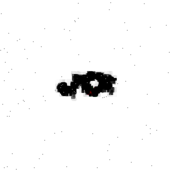 CCn1c(-c2cccnc2C(C)C)c2c3cc(ccc31)-c1cccc(c1)C[C@H](NC(=O)[C@@H](COC1CN(C(=O)C#C[C@@H]3OCCCN3C)C1)C(C)C)C(=O)N1CCC[C@H](N1)C(=O)OCC(C)(C)C2